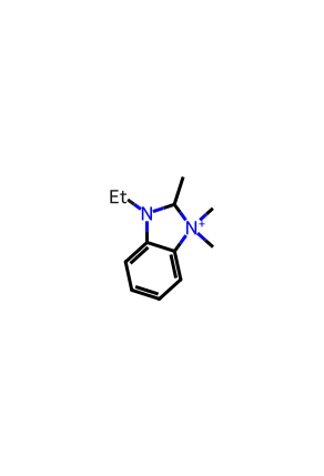 CCN1c2ccccc2[N+](C)(C)C1C